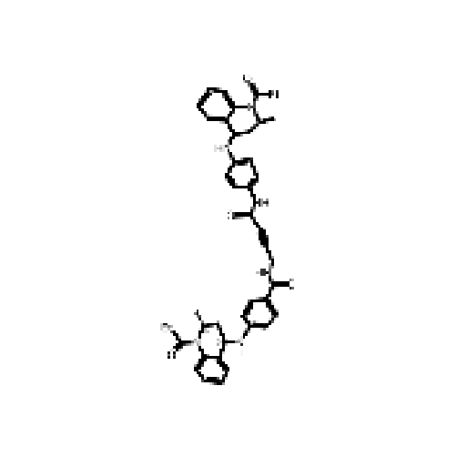 CCC(=O)N1c2ccccc2C(Nc2ccc(NC(=O)C#CCNC(=O)c3ccc(N[C@@H]4C[C@H](C)N(C(=O)CC)c5ccccc54)cc3)cc2)CC1C